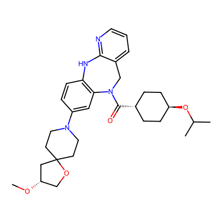 CO[C@H]1COC2(CCN(c3ccc4c(c3)N(C(=O)[C@H]3CC[C@H](OC(C)C)CC3)Cc3cccnc3N4)CC2)C1